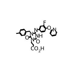 Cc1ccc(Cn2c(=O)n(CCC(=O)O)c(=O)[nH]/c2=N\c2ccc(Oc3ccccn3)c(F)c2)cc1